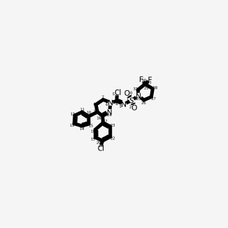 O=S(=O)(N=C(Cl)N1CCC(c2ccccc2)C(c2ccc(Cl)cc2)=N1)N1CCCC(F)(F)C1